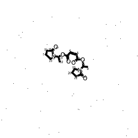 CC(OC(=O)/C=C\C(=O)OC(C)N1CCCC1=O)N1CCCC1=O